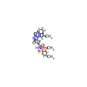 COc1cc(C)ccc1S(=O)(=O)NC(=O)C=Cc1c(C)nn(C)c1-n1cc(C)c2cccnc21